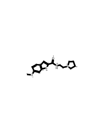 COc1ccc2cc(C(=O)NCCN3CCCC3)sc2c1